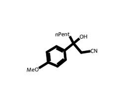 CCCCCC(O)(CC#N)c1ccc(OC)cc1